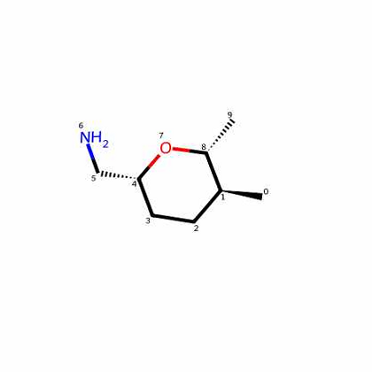 C[C@H]1CC[C@H](CN)O[C@@H]1C